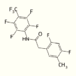 Cc1cc(CC(=O)Nc2c(F)c(F)c(C(F)(F)F)c(F)c2F)c(F)cc1F